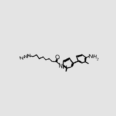 Cc1cc(-c2ccc(NC(=O)CCCCCCCN=[N+]=[N-])c(C)c2)ccc1N